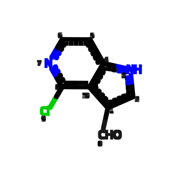 O=Cc1c[nH]c2ccnc(Cl)c12